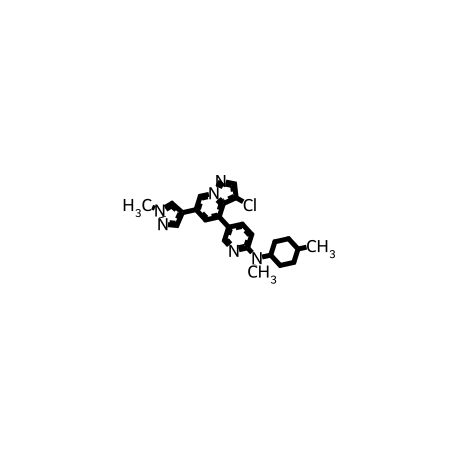 CC1CCC(N(C)c2ccc(-c3cc(-c4cnn(C)c4)cn4ncc(Cl)c34)cn2)CC1